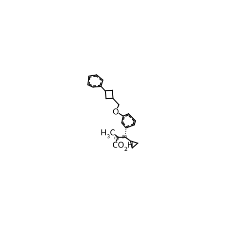 C[C@H](C(=O)O)[C@H](c1cccc(OCC2CC(c3ccccc3)C2)c1)C1CC1